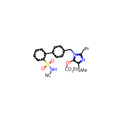 CCOC(=O)Oc1c(SC)nc(C(C)C)n1Cc1ccc(-c2ccccc2S(=O)(=O)NC#N)cc1